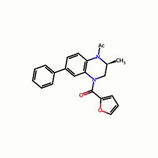 CC(=O)N1c2ccc(-c3ccccc3)cc2N(C(=O)c2ccco2)C[C@@H]1C